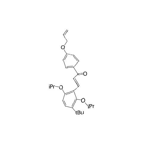 C=CCOc1ccc(C(=O)C=Cc2c(OC(C)C)ccc(C(C)(C)C)c2OC(C)C)cc1